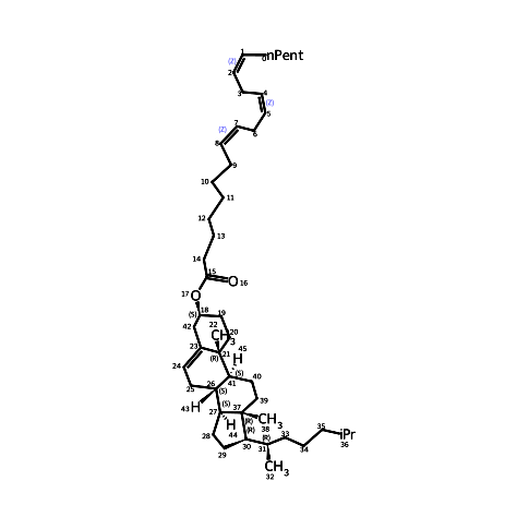 CCCCC/C=C\C/C=C\C/C=C\CCCCCCC(=O)O[C@H]1CC[C@@]2(C)C(=CC[C@H]3[C@@H]4CC[C@H]([C@H](C)CCCC(C)C)[C@@]4(C)CC[C@@H]32)C1